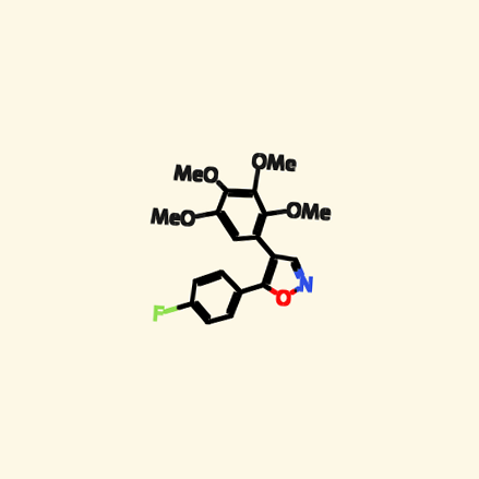 COc1cc(-c2cnoc2-c2ccc(F)cc2)c(OC)c(OC)c1OC